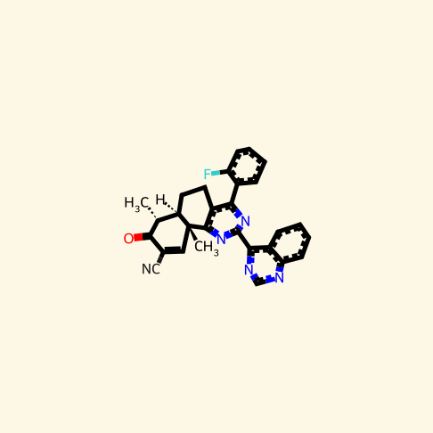 C[C@H]1C(=O)C(C#N)=C[C@@]2(C)c3nc(-c4ncnc5ccccc45)nc(-c4ccccc4F)c3CC[C@H]12